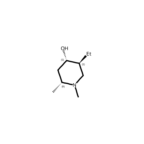 CC[C@H]1CN(C)[C@H](C)C[C@@H]1O